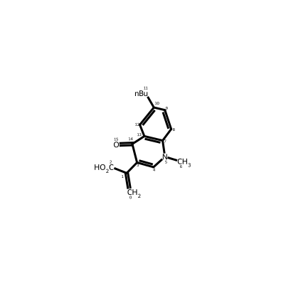 C=C(C(=O)O)c1cn(C)c2ccc(CCCC)cc2c1=O